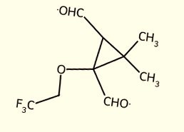 CC1(C)C([C]=O)C1([C]=O)OCC(F)(F)F